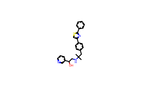 CC(C)(Cc1ccc(-c2csc(-c3ccccc3)n2)cc1)NCC(O)c1cccnc1